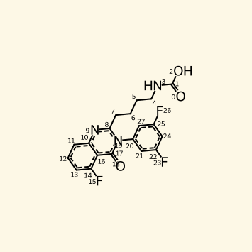 O=C(O)NCCCCc1nc2cccc(F)c2c(=O)n1-c1cc(F)cc(F)c1